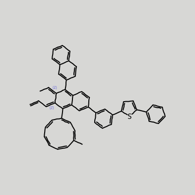 C=C/C=c1/c(-c2ccccccc(C)cc2)c2cc(-c3cccc(-c4ccc(-c5ccccc5)s4)c3)ccc2c(-c2ccc3ccccc3c2)/c1=C/C